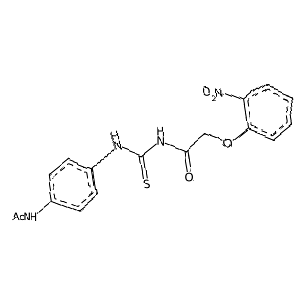 CC(=O)Nc1ccc(NC(=S)NC(=O)COc2ccccc2[N+](=O)[O-])cc1